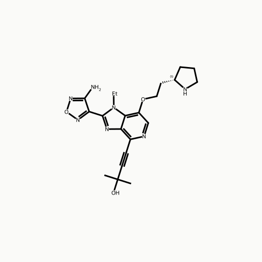 CCn1c(-c2nonc2N)nc2c(C#CC(C)(C)O)ncc(OCC[C@@H]3CCCN3)c21